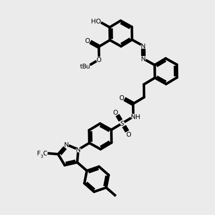 Cc1ccc(-c2cc(C(F)(F)F)nn2-c2ccc(S(=O)(=O)NC(=O)CCc3ccccc3/N=N/c3ccc(O)c(C(=O)OC(C)(C)C)c3)cc2)cc1